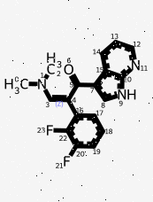 CN(C)/C=C(\C(=O)c1c[nH]c2ncccc12)c1cccc(F)c1F